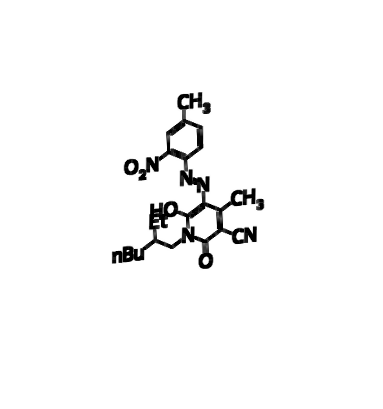 CCCCC(CC)Cn1c(O)c(/N=N/c2ccc(C)cc2[N+](=O)[O-])c(C)c(C#N)c1=O